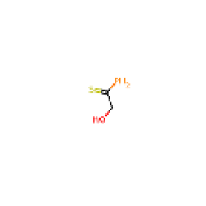 OCC(P)=S